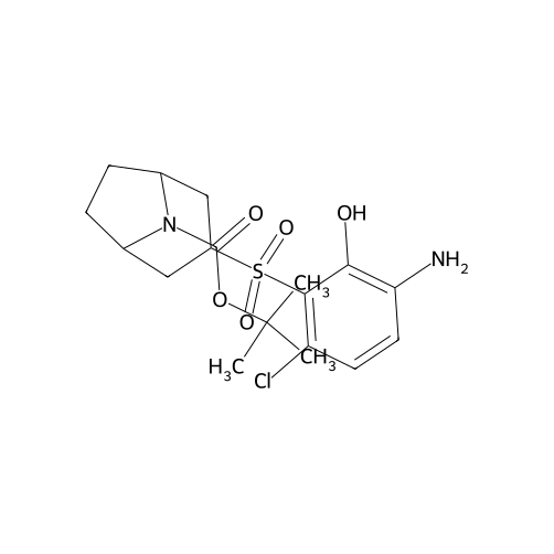 CC(C)(C)OC(=O)N1C2CCC1CC(S(=O)(=O)c1c(Cl)ccc(N)c1O)C2